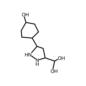 OC1CCC(C2CC(C(O)O)NN2)CC1